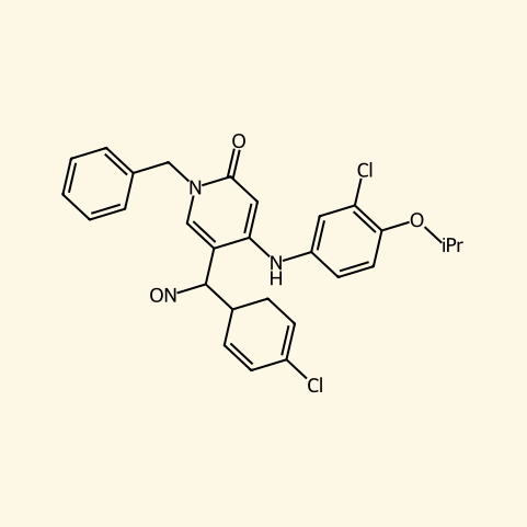 CC(C)Oc1ccc(Nc2cc(=O)n(Cc3ccccc3)cc2C(N=O)C2C=CC(Cl)=CC2)cc1Cl